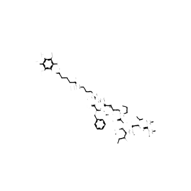 CC[C@H](C)[C@@H]([C@@H](CC(=O)N1CCC[C@H]1[C@H](OC)[C@@H](C)C(=O)N[C@@H](Cc1ccccc1)C(=O)NS(=O)(=O)CCCNC(=O)CCCC(=O)Oc1c(F)c(F)c(F)c(F)c1F)OC)N(C)C(=O)[C@@H](N=C(N(C)C)N(C)C)C(C)C